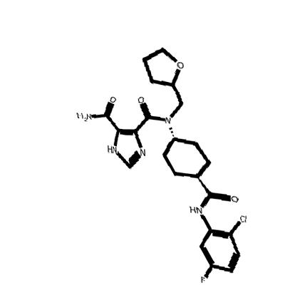 NC(=O)c1[nH]cnc1C(=O)N(CC1CCCO1)[C@H]1CC[C@H](C(=O)Nc2cc(F)ccc2Cl)CC1